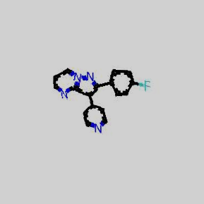 Fc1ccc(-c2nn3cccnc3c2-c2ccncc2)cc1